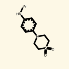 CC(C)Nc1ccc(N2CCS(=O)(=O)CC2)cc1